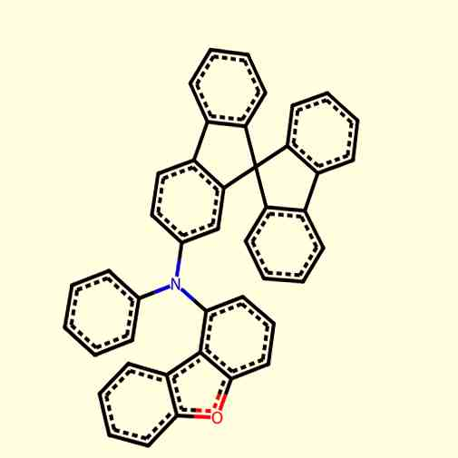 c1ccc(N(c2ccc3c(c2)C2(c4ccccc4-c4ccccc42)c2ccccc2-3)c2cccc3oc4ccccc4c23)cc1